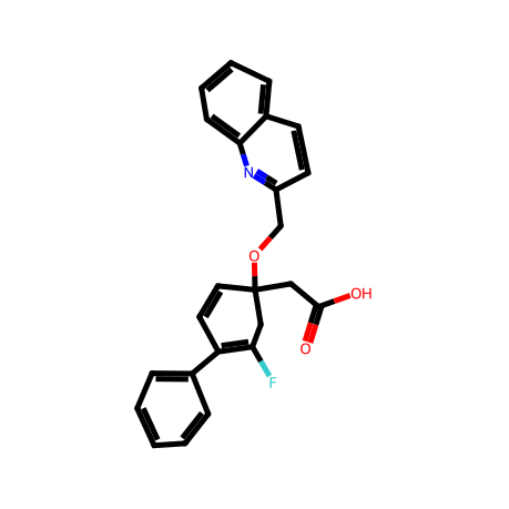 O=C(O)CC1(OCc2ccc3ccccc3n2)C=CC(c2ccccc2)=C(F)C1